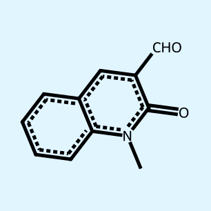 Cn1c(=O)c(C=O)cc2ccccc21